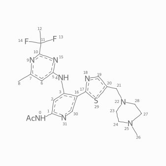 CC(=O)Nc1cc(Nc2cc(C)nc(C(C)(F)F)n2)c(-c2ncc(CN3CCN(C)CC3)s2)cn1